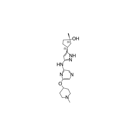 CN1CCC(Oc2cncc(Nc3cc([C@H]4CC[C@](C)(O)C4)[nH]n3)n2)CC1